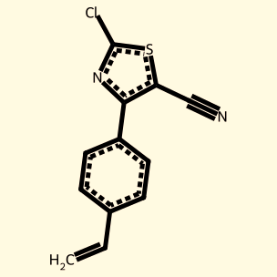 C=Cc1ccc(-c2nc(Cl)sc2C#N)cc1